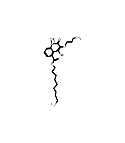 CCCCCCCCCCOC(=O)c1cccc2c1c(O)c(OCCCC)c(=O)n2C